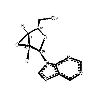 OC[C@H]1O[C@@H](n2cnc3cncnc32)[C@@H]2O[C@H]21